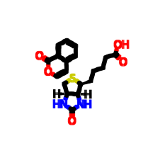 O=C(O)CCCC[C@@H]1SC[C@@H]2NC(=O)N[C@@H]21.O=c1occc2ccccc12